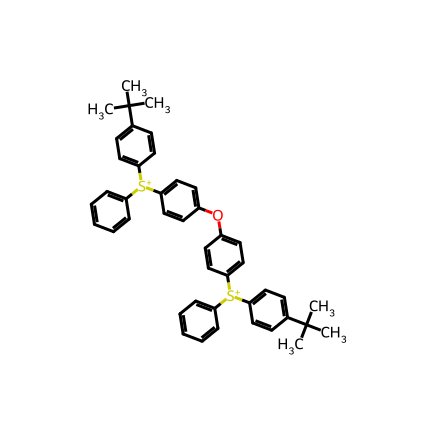 CC(C)(C)c1ccc([S+](c2ccccc2)c2ccc(Oc3ccc([S+](c4ccccc4)c4ccc(C(C)(C)C)cc4)cc3)cc2)cc1